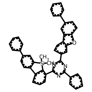 C[Si]1(C)c2cc(-c3ccccc3)ccc2-c2cccc(-c3nc(-c4ccccc4)nc(-c4ccc5c(c4)oc4ccc(-c6ccccc6)cc45)n3)c21